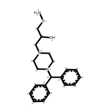 NOCC(O)CN1CCN(C(c2ccccc2)c2ccccc2)CC1